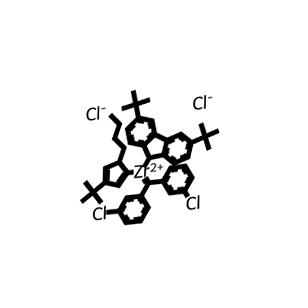 CCCCC1C=C(C(C)(C)C)C=[C]1[Zr+2](=[C](c1cccc(Cl)c1)c1cccc(Cl)c1)[CH]1c2ccc(C(C)(C)C)cc2-c2cc(C(C)(C)C)ccc21.[Cl-].[Cl-]